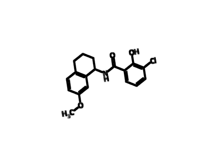 COc1ccc2c(c1)C(NC(=O)c1cccc(Cl)c1O)CCC2